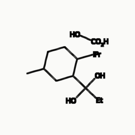 CCC(O)(O)C1CC(C)CCC1C(C)C.O=C(O)O